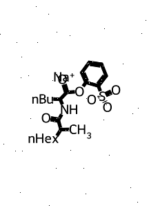 CCCCCCC(C)C(=O)NC(CCCC)C(=O)Oc1ccccc1S(=O)(=O)[O-].[Na+]